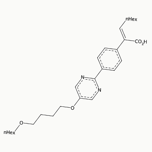 CCCCCCC=C(C(=O)O)c1ccc(-c2ncc(OCCCCOCCCCCC)cn2)cc1